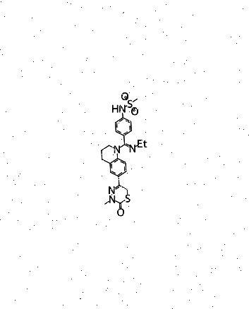 CCN=C(c1ccc(NS(C)(=O)=O)cc1)N1CCCc2cc(C3=NN(C)C(=O)SC3)ccc21